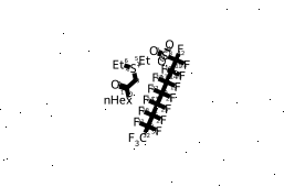 CCCCCCC(=O)C[S+](CC)CC.O=S(=O)([O-])C(F)(F)C(F)(F)C(F)(F)C(F)(F)C(F)(F)C(F)(F)C(F)(F)C(F)(F)F